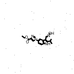 CCOC(=O)c1cn(-c2ccc3[nH]c(C(C)C)c(/C=N/O)c3c2)cn1